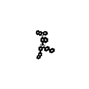 c1ccc(-c2ccc(-c3nc(-c4ccc(-n5c6ccccc6c6cc7ccccc7cc65)c5ccccc45)nc4ccc(-c5ccc6ccccc6c5)cc34)cc2)cc1